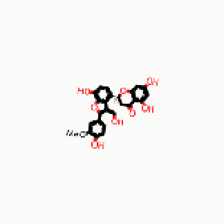 COc1cc(C2Oc3c(O)ccc([C@H]4CC(=O)c5c(O)cc(O)cc5O4)c3C2CO)ccc1O